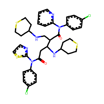 O=C(C(CNC1CCSCC1)C(CC(=O)N(c1ccc(Cl)cc1)c1nccs1)NC1CCSCC1)N(c1ccc(Cl)cc1)c1ccccn1